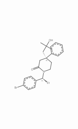 CC[C@@H](c1ccc(Br)cc1)N1CC[C@](CC(C)(C)O)(c2ccccc2)CC1=O